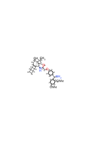 COc1ccc(C(N)c2ccc(OCC(=O)NCC3=C(CC(C)C4CCC4C)C4C5CCC5C34)cc2)c(OC)c1